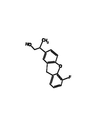 CC(CO)c1ccc2c(c1)Cc1cccc(F)c1O2